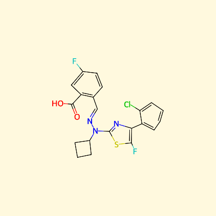 O=C(O)c1cc(F)ccc1/C=N/N(c1nc(-c2ccccc2Cl)c(F)s1)C1CCC1